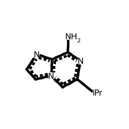 CC(C)c1cn2ccnc2c(N)n1